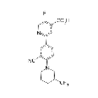 CC1CCCN(c2ccc(-c3cc(C(=O)O)c(F)cn3)cc2C#N)C1